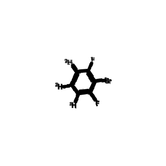 [2H]c1c([2H])c(F)c(Br)c(F)c1[2H]